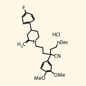 C=C1CC(c2ccc(F)cc2)CCN1CCCC(C#N)(CCCCCCCCCCCC)c1ccc(OC)c(OC)c1.Cl